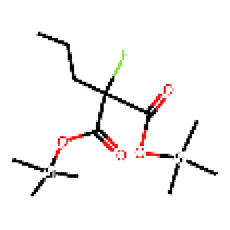 CCCC(F)(C(=O)O[Si](C)(C)C)C(=O)O[Si](C)(C)C